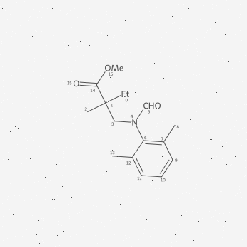 CCC(C)(CN(C=O)c1c(C)cccc1C)C(=O)OC